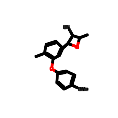 COc1ccc(Oc2cc(C3OC(C)C3N=O)ccc2C)cc1